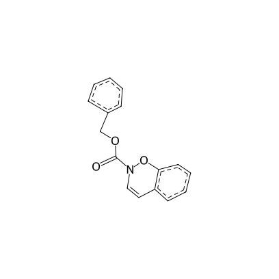 O=C(OCc1ccccc1)N1C=Cc2ccccc2O1